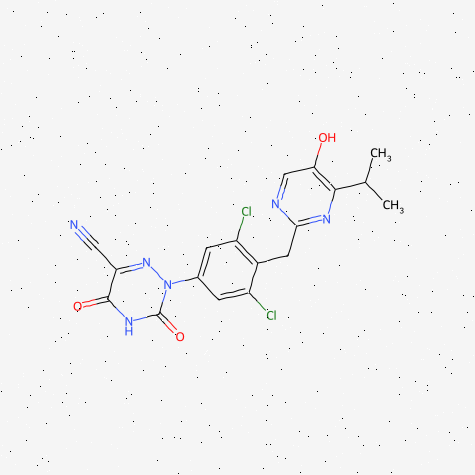 CC(C)c1nc(Cc2c(Cl)cc(-n3nc(C#N)c(=O)[nH]c3=O)cc2Cl)ncc1O